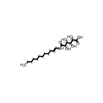 CCCCCCCCCCC=CNC(=O)[C@@H](O)[C@H](O)[C@@H](O)[C@@H](O)C(=O)O